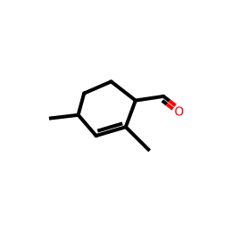 CC1=CC(C)CCC1C=O